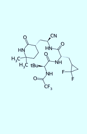 CC1(C)CC[C@@H](C[C@@H](C#N)NC(=O)[C@H](CC2CC2(F)F)NC(=O)[C@@H](NC(=O)C(F)(F)F)C(C)(C)C)C(=O)N1